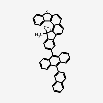 CC1(C)c2ccc(-c3c4ccccc4c(-c4ccc5ccccc5c4)c4ccccc34)cc2-c2ccc3ccc4sc5ccccc5c4c3c21